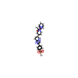 CC(C)CN1C2CCC1CC(N1CCC([C@@H]3CCc4nc(-c5ccc(S(C)(=O)=O)cc5)cn4C3)CC1)C2